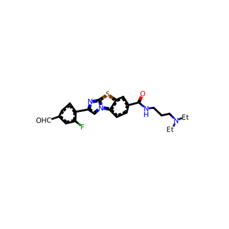 CCN(CC)CCCNC(=O)c1ccc2c(c1)sc1nc(-c3ccc(C=O)cc3F)cn12